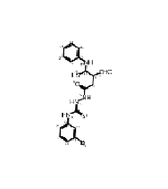 O=CC(CC(=O)NNC(=S)Nc1cccc(Br)c1)C(S)Nc1ccccc1